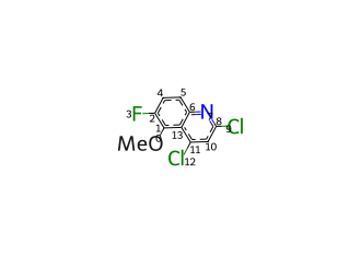 COc1c(F)ccc2nc(Cl)cc(Cl)c12